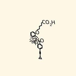 [2H]C([2H])([2H])N(Cc1ccccc1OCCCCCC(=O)O)C(=O)c1ccc(C#CC2CC2)cc1